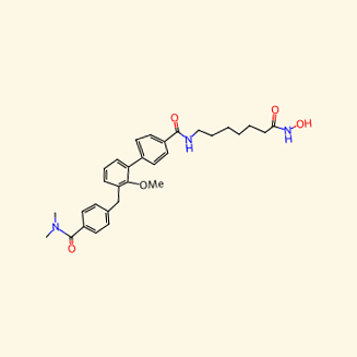 COc1c(Cc2ccc(C(=O)N(C)C)cc2)cccc1-c1ccc(C(=O)NCCCCCCC(=O)NO)cc1